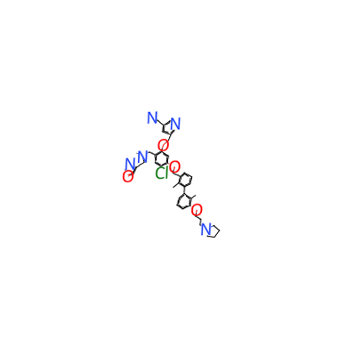 Cc1c(COc2cc(OCc3cncc(C#N)c3)c(CN(C)Cc3cocn3)cc2Cl)cccc1-c1cccc(OCCCN2CCCC2)c1C